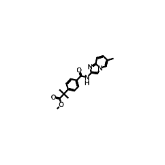 COC(=O)C(C)(C)c1ccc(C(=O)Nc2cn3cc(C)ccc3n2)cc1